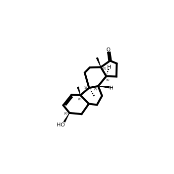 C[C@]12C=C[C@H](O)CC1CC[C@H]1[C@@H]3CCC(=O)[C@@]3(C)CC[C@@]12C